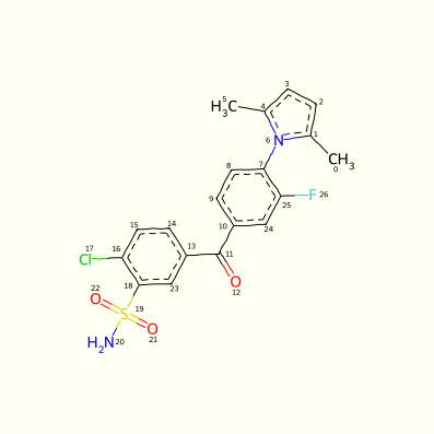 Cc1ccc(C)n1-c1ccc(C(=O)c2ccc(Cl)c(S(N)(=O)=O)c2)cc1F